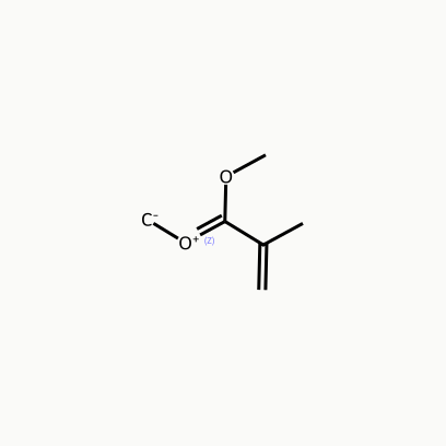 C=C(C)/C(OC)=[O+]/[CH2-]